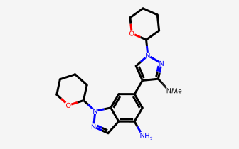 CNc1nn(C2CCCCO2)cc1-c1cc(N)c2cnn(C3CCCCO3)c2c1